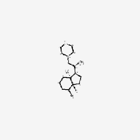 [2H]C1CCC[C@]2(C)[C@@H]1CC[C@@H]2[C@H](C)CN1CCOCC1